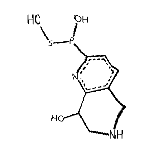 OSP(O)c1ccc2c(n1)C(O)CNC2